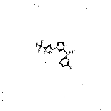 [O-][S+](c1[c]ccc(-c2noc(C(F)(F)F)n2)c1)c1cccc(F)c1